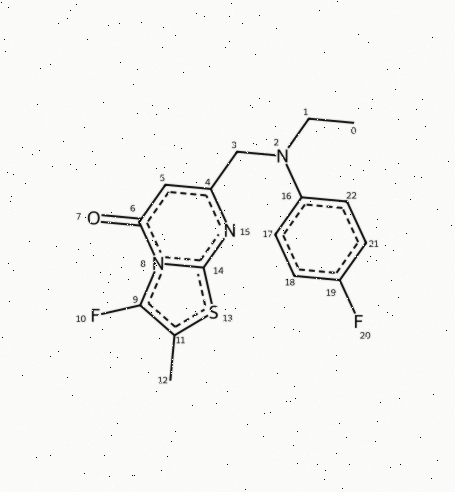 CCN(Cc1cc(=O)n2c(F)c(C)sc2n1)c1ccc(F)cc1